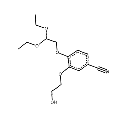 CCOC(COc1ccc(C#N)cc1OCCO)OCC